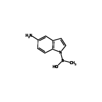 CB(O)n1ccc2cc(N)ccc21